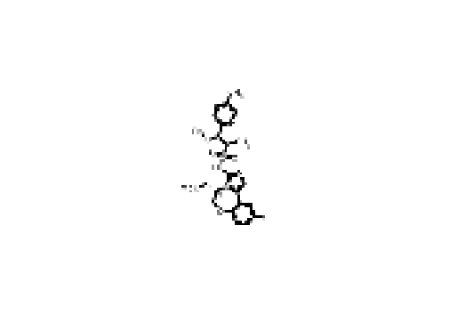 COC[C@H]1COc2ccc(F)cc2-c2nnc(NS(=O)(=O)C(C)C(OC(C)C)c3ncc(C)cn3)n21